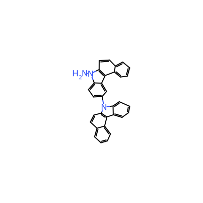 Nn1c2ccc(-n3c4ccccc4c4c5ccccc5ccc43)cc2c2c3ccccc3ccc21